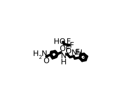 NC(=O)c1ccc(CNC(=O)C[C@H](N)Cc2ccccc2F)cc1.O=C(O)C(F)(F)F